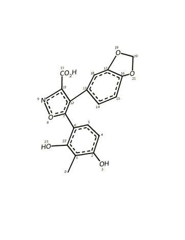 Cc1c(O)ccc(-c2onc(C(=O)O)c2-c2ccc3c(c2)OCO3)c1O